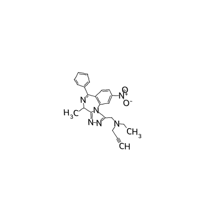 C#CCN(CC)Cc1nnc2n1-c1cc([N+](=O)[O-])ccc1C(c1ccccc1)=NC2C